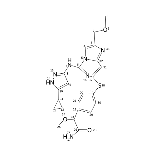 COCc1cn2c(Nc3cc(C4CC4)[nH]n3)nc(Sc3ccc(C(OC)C(N)=O)cc3)cc2n1